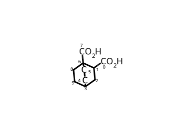 O=C(O)C1CC2CCC1(C(=O)O)CC2